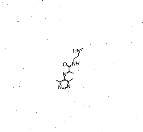 CNCCNC(=O)/C(C)=N/c1c(C)ncnc1C